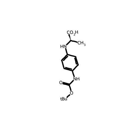 C[C@@H](Nc1ccc(NC(=O)OC(C)(C)C)cc1)C(=O)O